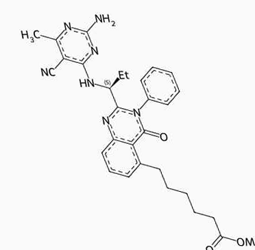 CC[C@H](Nc1nc(N)nc(C)c1C#N)c1nc2cccc(CCCCCC(=O)OC)c2c(=O)n1-c1ccccc1